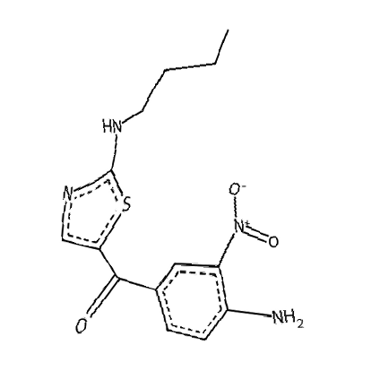 CCCCNc1ncc(C(=O)c2ccc(N)c([N+](=O)[O-])c2)s1